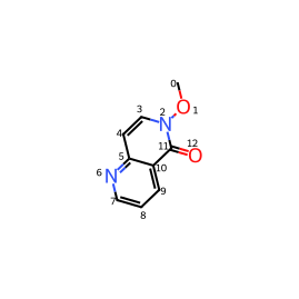 COn1ccc2ncccc2c1=O